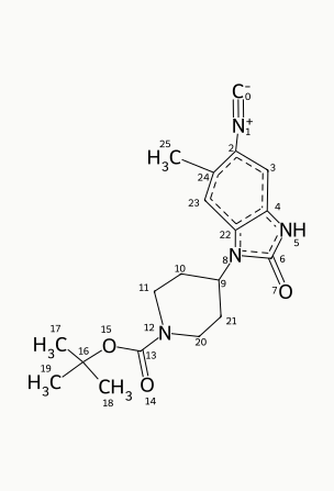 [C-]#[N+]c1cc2[nH]c(=O)n(C3CCN(C(=O)OC(C)(C)C)CC3)c2cc1C